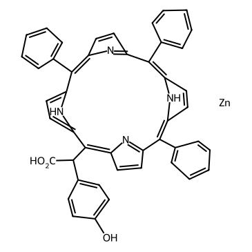 O=C(O)C(c1ccc(O)cc1)c1c2nc(c(-c3ccccc3)c3ccc([nH]3)c(-c3ccccc3)c3nc(c(-c4ccccc4)c4ccc1[nH]4)C=C3)C=C2.[Zn]